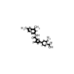 Cc1cn2nc(NC(=O)c3sc(C4CCN(C(=O)O)C(C)C4)cc3F)cc(C)c2n1